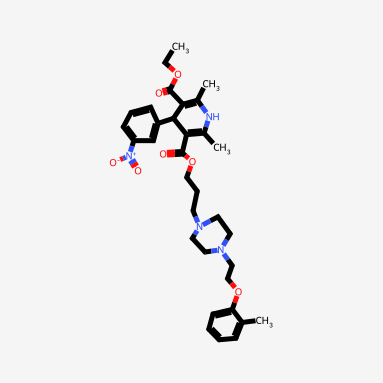 CCOC(=O)C1=C(C)NC(C)=C(C(=O)OCCCN2CCN(CCOc3ccccc3C)CC2)C1c1cccc([N+](=O)[O-])c1